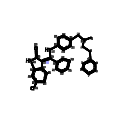 CN(CCc1ccccc1)Cc1ccc(N/C(=C2\C(=O)Nc3cc(Cl)ccc32)c2ccccc2)cc1